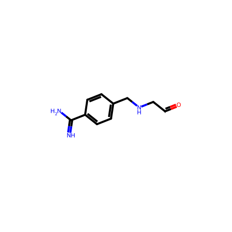 N=C(N)c1ccc(CNC[C]=O)cc1